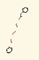 O=C(COCCOCCOCC(=O)Oc1ccccc1)Cc1ccccc1